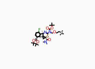 CN(C)C(=O)[C@]12C[C@H]1[C@@](C)(c1cc(B3OC(C)(C)C(C)(C)O3)ccc1F)N=C(N(COCC[Si](C)(C)C)C(=O)OC(C)(C)C)S2